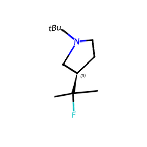 CC(C)(F)[C@@H]1CCN(C(C)(C)C)C1